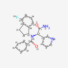 NC(=O)[C@@H](c1cccnc1)N(C(=O)c1ccccc1)[C@@H]1CCc2c(F)cccc21